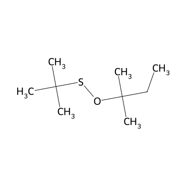 CCC(C)(C)OSC(C)(C)C